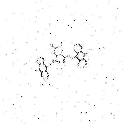 Cc1c2ccccc2c(COC(=O)C2CCC(=O)OC2C(=O)OCc2c3ccccc3c(C)c3ccccc23)c2ccccc12